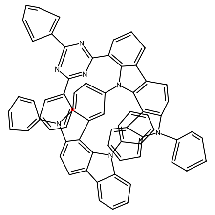 c1ccc(-c2nc(-c3ccccc3)nc(-c3cccc4c5ccc6c(c7ccccc7n6-c6ccccc6)c5n(-c5ccc6c(c5)c5c(ccc7c8ccccc8n(-c8ccccc8)c75)n6-c5ccccc5)c34)n2)cc1